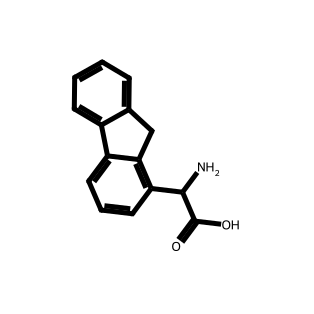 NC(C(=O)O)c1cccc2c1Cc1ccccc1-2